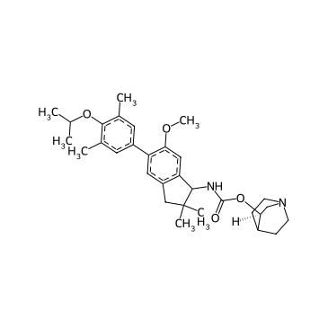 COc1cc2c(cc1-c1cc(C)c(OC(C)C)c(C)c1)CC(C)(C)C2NC(=O)O[C@H]1CN2CCC1CC2